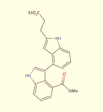 CCOC(=O)CCc1[c]c2c(-c3c[nH]c4cccc(C(=O)OC)c34)cccc2[nH]1